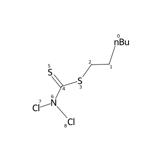 CCCCCCSC(=S)N(Cl)Cl